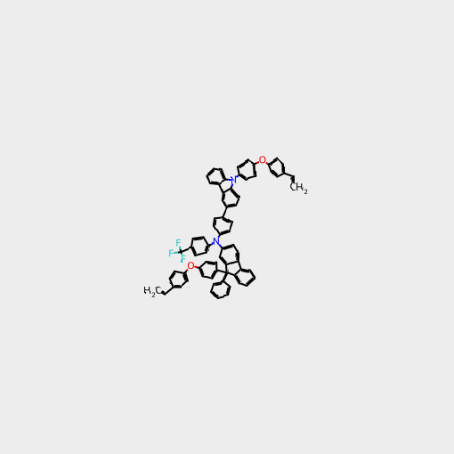 C=Cc1ccc(Oc2ccc(-n3c4ccccc4c4cc(-c5ccc(N(c6ccc(C(F)(F)F)cc6)c6ccc7c(c6)C(c6ccccc6)(c6ccc(Oc8ccc(C=C)cc8)cc6)c6ccccc6-7)cc5)ccc43)cc2)cc1